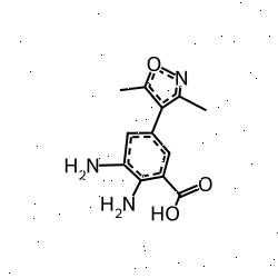 Cc1noc(C)c1-c1cc(N)c(N)c(C(=O)O)c1